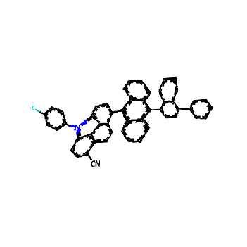 N#Cc1ccc2c3c1ccc1c(-c4c5ccccc5c(-c5ccc(-c6ccccc6)c6ccccc56)c5ccccc45)ccc(c13)n2-c1ccc(F)cc1